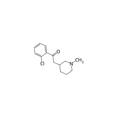 CN1CCCC(CC(=O)c2ccccc2Cl)C1